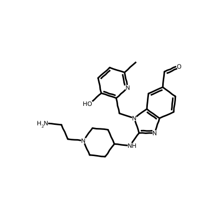 Cc1ccc(O)c(Cn2c(NC3CCN(CCN)CC3)nc3ccc(C=O)cc32)n1